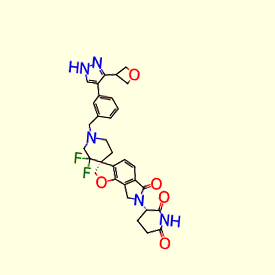 O=C1CC[C@H](N2Cc3c(ccc4c3OC[C@]43CCN(Cc4cccc(-c5c[nH]nc5C5COC5)c4)CC3(F)F)C2=O)C(=O)N1